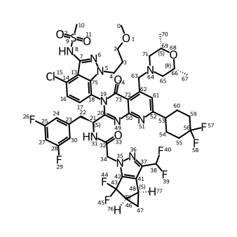 COCCCn1nc(NS(C)(=O)=O)c2c(Cl)ccc(-n3c([C@H](Cc4cc(F)cc(F)c4)NC(=O)Cn4nc(C(F)F)c5c4C(F)(F)[C@@H]4C[C@H]54)nc4nc(C5CCC(F)(F)CC5)cc(CN5C[C@@H](C)O[C@@H](C)C5)c4c3=O)c21